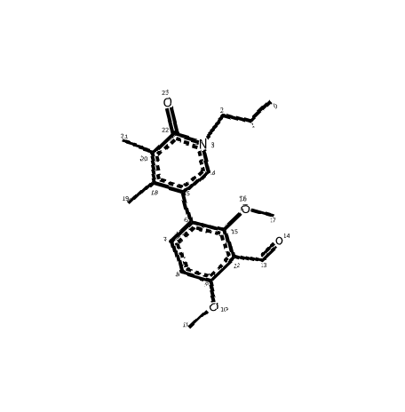 CCCn1cc(-c2ccc(OC)c(C=O)c2OC)c(C)c(C)c1=O